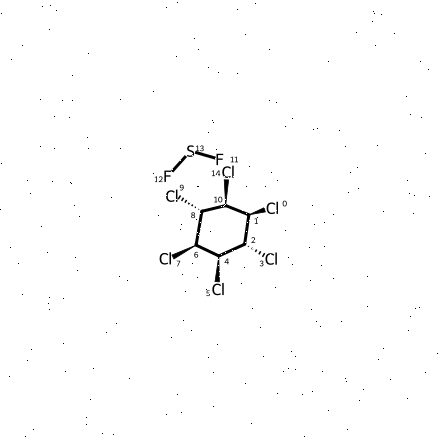 Cl[C@H]1[C@H](Cl)[C@@H](Cl)[C@@H](Cl)[C@H](Cl)[C@H]1Cl.FSF